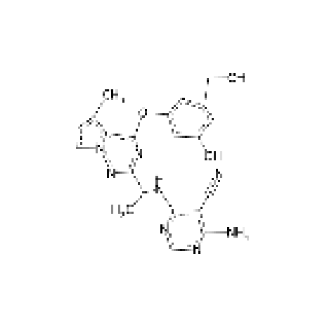 Cc1ccn2nc(C(C)Nc3ncnc(N)c3C#N)nc(Oc3cc(O)cc(CO)c3)c12